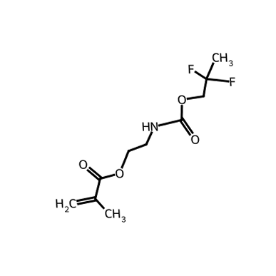 C=C(C)C(=O)OCCNC(=O)OCC(C)(F)F